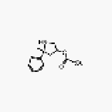 CC(C)(C)C(=O)OC1CNC(C)(c2ccccc2)C1